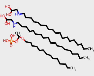 CCCCCCCCC=CCCCCCCCCCNCC(O)O.CCCCCCCCC=CCCCCCCCCCNCC(O)O.CCCCCCCCCCCCCCOC(C)OP(=O)(O)O